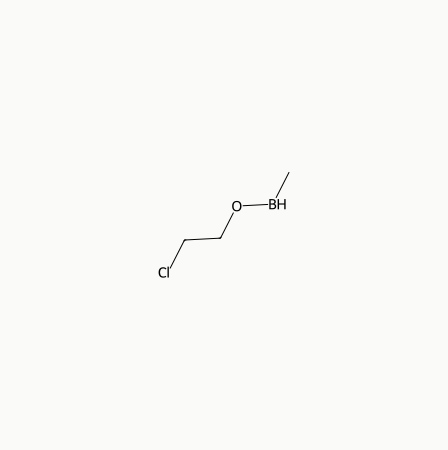 CBOCCCl